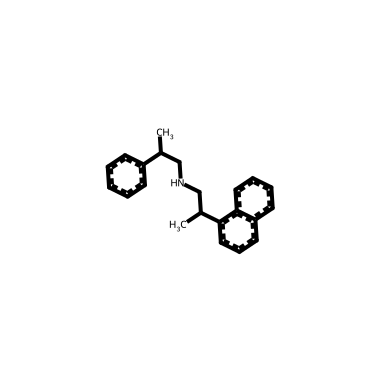 CC(CNCC(C)c1cccc2ccccc12)c1ccccc1